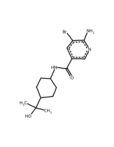 CC(C)(O)C1CCC(NC(=O)c2cnc(N)c(Br)c2)CC1